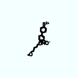 [B+2]c1ccc(-c2ccc(OCCCCCOC)cc2)cc1.[OH-].[OH-]